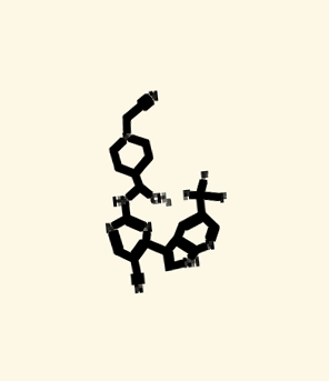 CC(Nc1ncc(C#N)c(-c2c[nH]c3ncc(C(F)(F)F)cc23)n1)C1CCN(CC#N)CC1